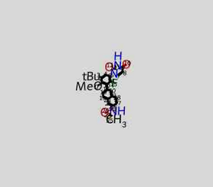 COc1c(C(C)(C)C)cc(-n2ccc(=O)[nH]c2=O)c(F)c1-c1ccc2cc(N[S+](C)[O-])ccc2c1